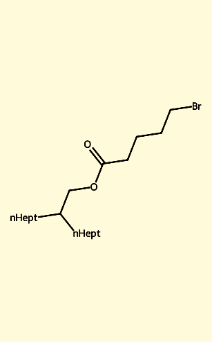 CCCCCCCC(CCCCCCC)COC(=O)CCCCBr